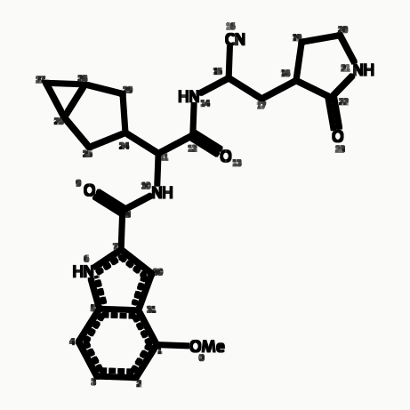 COc1cccc2[nH]c(C(=O)NC(C(=O)NC(C#N)CC3CCNC3=O)C3CC4CC4C3)cc12